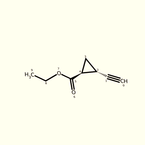 C#C[C@H]1C[C@@H]1C(=O)OCC